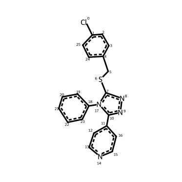 Clc1ccc(CSc2nnc(-c3ccncc3)n2-c2ccccc2)cc1